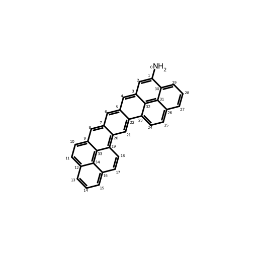 Nc1cc2cc3cc4cc5ccc6cccc7ccc(c4cc3c3ccc4cccc1c4c23)c5c67